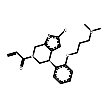 C=CC(=O)N1Cc2sc(Cl)cc2[C@@H](c2ccccc2OCCCN(C)C)C1